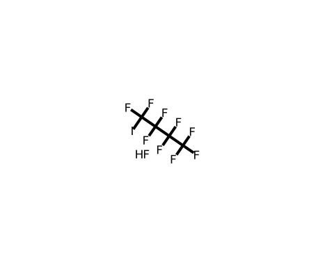 F.FC(F)(F)C(F)(F)C(F)(F)C(F)(F)I